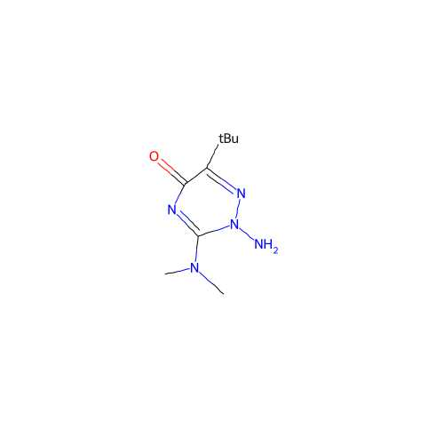 CN(C)c1nc(=O)c(C(C)(C)C)nn1N